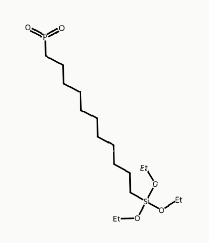 CCO[Si](CCCCCCCCCCCP(=O)=O)(OCC)OCC